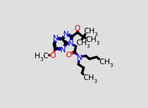 CCCCN(CCCC)C(=O)Cn1c(C(=O)C(C)(C)C)nc2ncc(OC)nc21